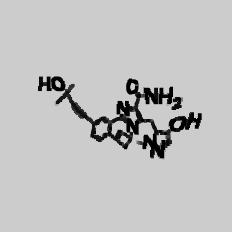 Cn1ncc(O)c1Cc1c(C(N)=O)nc2n1C1C=C(C1)c1ccc(C#CC(C)(C)O)cc1-2